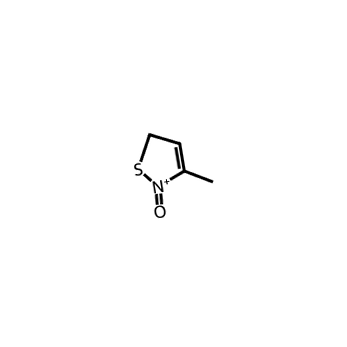 CC1=CCS[N+]1=O